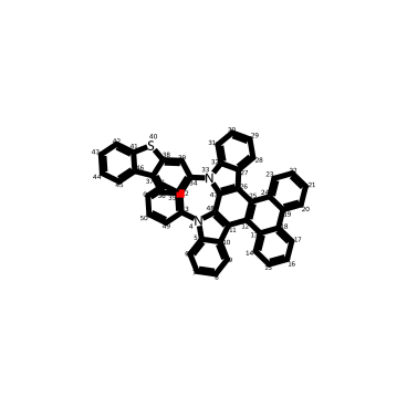 c1ccc(-n2c3ccccc3c3c4c5ccccc5c5ccccc5c4c4c5ccccc5n(-c5ccc6c(c5)sc5ccccc56)c4c32)cc1